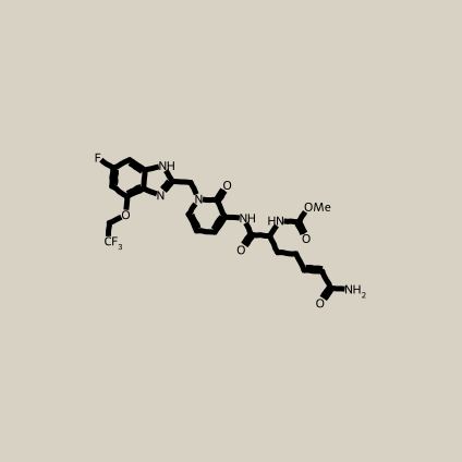 COC(=O)NC(CCC=CC(N)=O)C(=O)Nc1cccn(Cc2nc3c(OCC(F)(F)F)cc(F)cc3[nH]2)c1=O